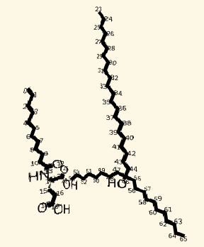 CCCCCCCCCCCC(=O)N[C@@H](CCC(=O)O)C(=O)O.CCCCCCCCCCCCCCCCCCCCCCC(O)(CCCCCCCC)CCCCCCCCCCC